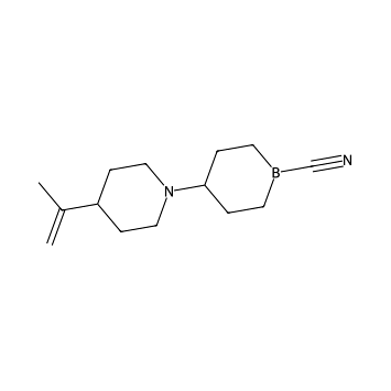 C=C(C)C1CCN(C2CCB(C#N)CC2)CC1